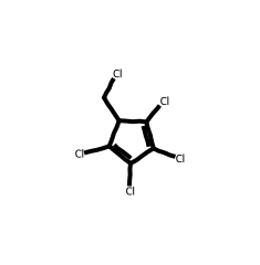 ClCC1C(Cl)=C(Cl)C(Cl)=C1Cl